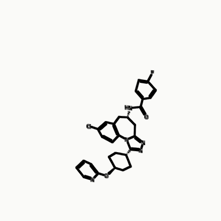 O=C(N[C@H]1Cc2cc(Cl)ccc2-n2c(nnc2[C@H]2CC[C@H](Oc3ccccn3)CC2)C1)c1ccc(F)cc1